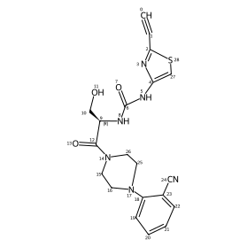 C#Cc1nc(NC(=O)N[C@H](CO)C(=O)N2CCN(c3ccccc3C#N)CC2)cs1